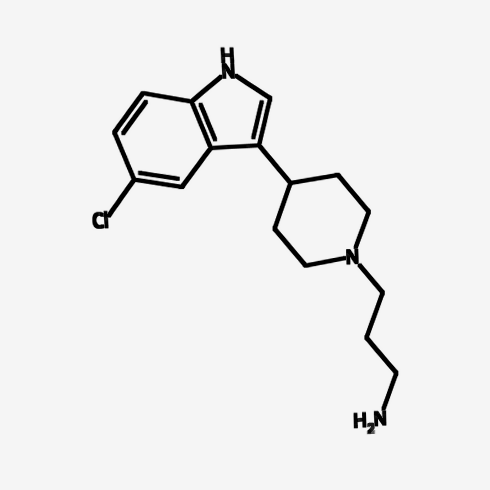 NCCCN1CCC(c2c[nH]c3ccc(Cl)cc23)CC1